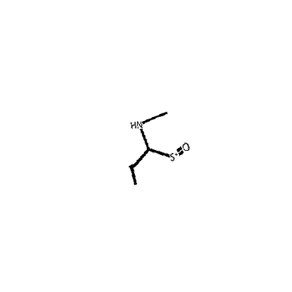 CCC(NC)[S+]=O